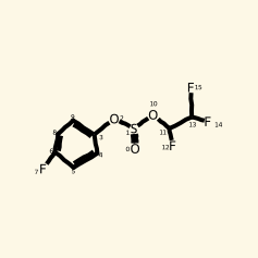 O=S(Oc1ccc(F)cc1)OC(F)C(F)F